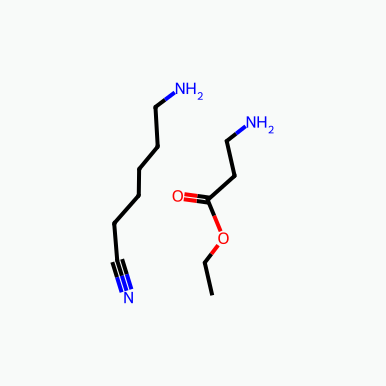 CCOC(=O)CCN.N#CCCCCCN